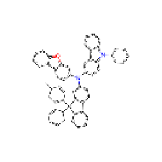 CC1C=CC(C2(C3C=CC=CC3)c3ccccc3-c3ccc(N(c4ccc5c(c4)oc4ccccc45)c4ccc5c(c4)c4ccccc4n5-c4ccccc4)cc32)=CC1